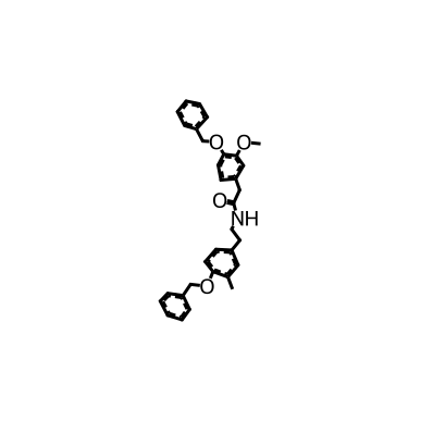 COc1cc(CC(=O)NCCc2ccc(OCc3ccccc3)c(C)c2)ccc1OCc1ccccc1